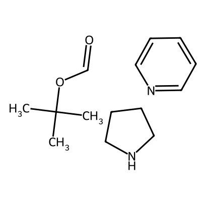 C1CCNC1.CC(C)(C)OC=O.c1ccncc1